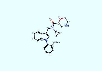 COc1ccccc1-n1cc(CN(C(=O)C2CNCCO2)C2CC2)c2ccccc21